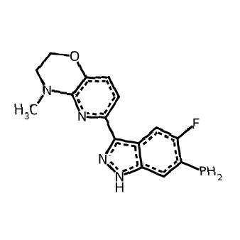 CN1CCOc2ccc(-c3n[nH]c4cc(P)c(F)cc34)nc21